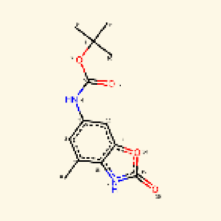 Cc1cc(NC(=O)OC(C)(C)C)cc2oc(=O)[nH]c12